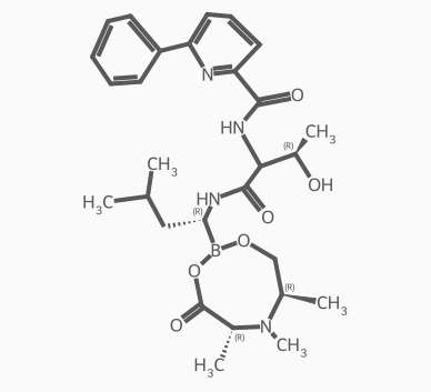 CC(C)C[C@H](NC(=O)C(NC(=O)c1cccc(-c2ccccc2)n1)[C@@H](C)O)B1OC[C@@H](C)N(C)[C@H](C)C(=O)O1